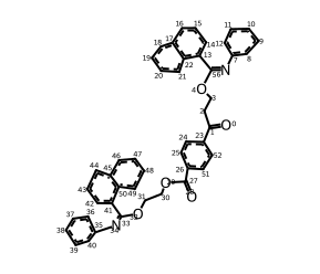 O=C(CCO/C(=N/c1ccccc1)c1cccc2ccccc12)c1ccc(C(=O)OCCO/C(=N/c2ccccc2)c2cccc3ccccc23)cc1